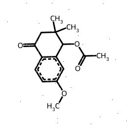 COc1ccc2c(c1)C(OC(C)=O)C(C)(C)CC2=O